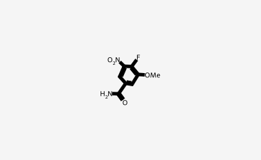 COc1cc(C(N)=O)cc([N+](=O)[O-])c1F